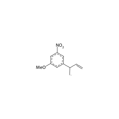 [CH2]C(C=C)c1cc(OC)cc([N+](=O)[O-])c1